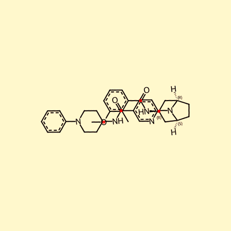 COc1cccc(C(=O)N[C@H]2C[C@H]3CC[C@@H](C2)N3c2ccc(C(=O)NC3CCN(c4ccccc4)CC3)cn2)c1C